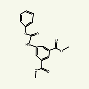 COC(=O)c1cc(NC(=O)Oc2ccccc2)cc(C(=O)OC)c1